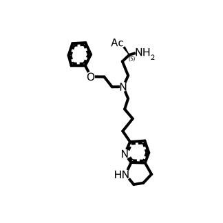 CC(=O)[C@@H](N)CCN(CCCCc1ccc2c(n1)NCCC2)CCOc1ccccc1